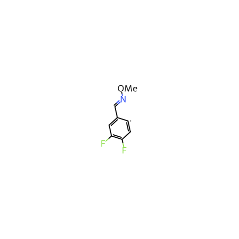 CON=Cc1[c]cc(F)c(F)c1